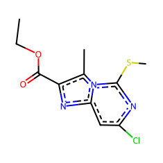 CCOC(=O)c1nc2cc(Cl)nc(SC)n2c1C